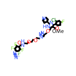 COC(=O)C1=C(COCc2cn(CCOCCOCCNC(=O)c3c(F)c(F)c(N=[N+]=[N-])c(F)c3F)nn2)NC(c2ccncc2)=NC1c1ccc(F)cc1Cl